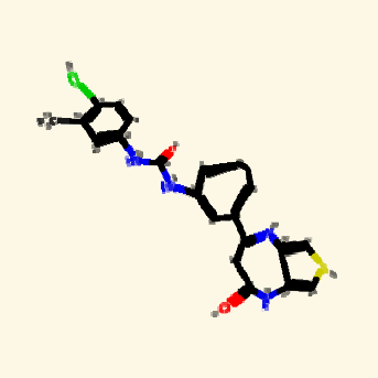 O=C1CC(c2cccc(NC(=O)Nc3ccc(Cl)c(C(F)(F)F)c3)c2)=Nc2cscc2N1